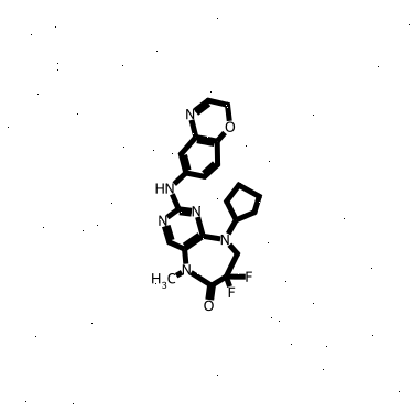 CN1C(=O)C(F)(F)CN(C2CCCC2)c2nc(Nc3ccc4c(c3)N=CCO4)ncc21